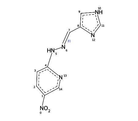 O=[N+]([O-])c1ccc(N/N=C/c2c[nH]cn2)nc1